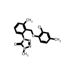 Cc1ccc(OCc2c(C)cccc2-n2nnn(C)c2=O)c(Cl)c1